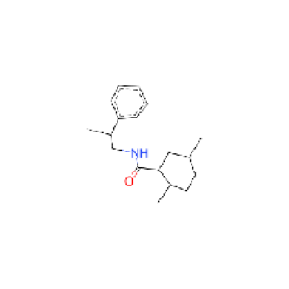 CC1CCC(C)C(C(=O)NCC(C)c2ccccc2)C1